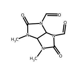 CN1C(=O)N(C=O)C2C1N(C)C(=O)N2C=O